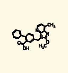 COc1nc2c(C)ccnc2n1Cc1ccc(-c2ccccc2)c(C(=O)O)c1